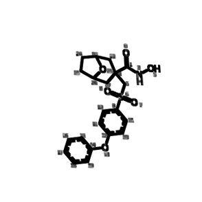 O=C(NO)C1(CS(=O)(=O)c2ccc(Oc3ccccc3)cc2)CC2CCC(C1)O2